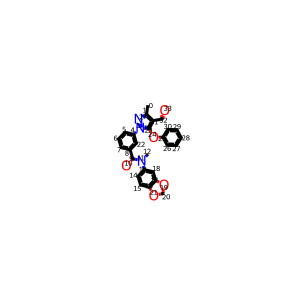 Cc1nn(-c2cccc(C(=O)N(C)c3ccc4c(c3)OCO4)c2)c(Oc2ccccc2)c1C=O